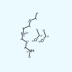 CCSC[CH2][Sn+2][CH2]SCNC.CC[O-].CC[O-]